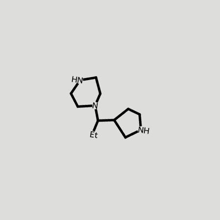 CCC(C1CCNC1)N1CCNCC1